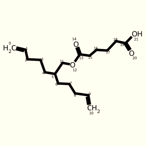 C=CCCCC(CCCC=C)COC(=O)CCCCC(=O)O